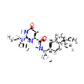 CC(NC(=O)c1cc(=O)[nH]c(N(C)C)n1)c1ccc(C(C)(C)C(F)(F)F)cc1